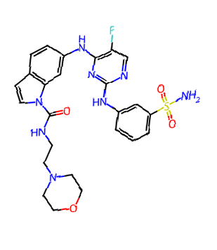 NS(=O)(=O)c1cccc(Nc2ncc(F)c(Nc3ccc4ccn(C(=O)NCCN5CCOCC5)c4c3)n2)c1